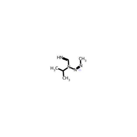 C/N=N\N(C=N)C(C)C